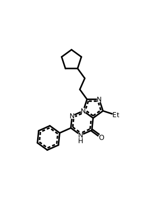 CCc1nc(CCC2CCCC2)n2nc(-c3ccccc3)[nH]c(=O)c12